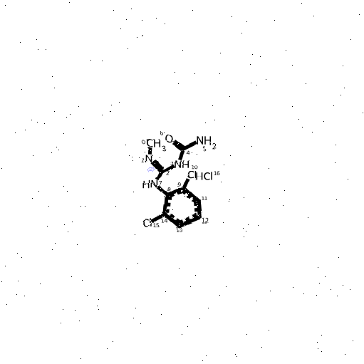 C/N=C(\NC(N)=O)Nc1c(Cl)cccc1Cl.Cl